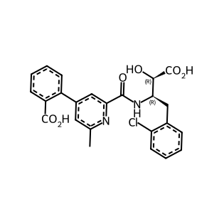 Cc1cc(-c2ccccc2C(=O)O)cc(C(=O)N[C@H](Cc2ccccc2Cl)[C@@H](O)C(=O)O)n1